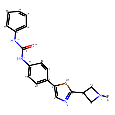 CC(C)N1CC(c2ncc(-c3ccc(NC(=O)Nc4ccccc4)cc3)s2)C1